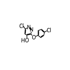 Oc1cc(Cl)nnc1Oc1ccc(Cl)cc1